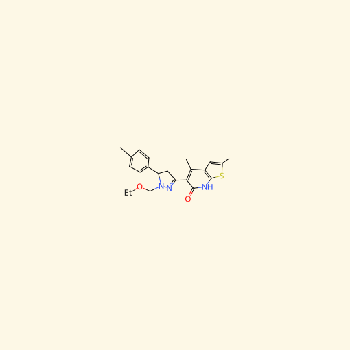 CCOCN1N=C(c2c(C)c3cc(C)sc3[nH]c2=O)CC1c1ccc(C)cc1